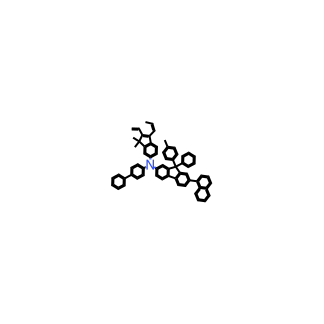 C=CC1=C(/C=C\C)c2ccc(N(c3ccc(-c4ccccc4)cc3)c3ccc4c(c3)C(c3ccccc3)(c3ccc(C)cc3)c3cc(-c5cccc6ccccc56)ccc3-4)cc2C1(C)C